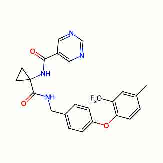 Cc1ccc(Oc2ccc(CNC(=O)C3(NC(=O)c4cncnc4)CC3)cc2)c(C(F)(F)F)c1